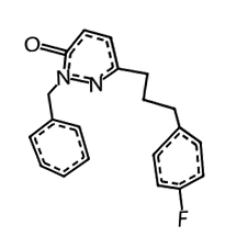 O=c1ccc(CCCc2ccc(F)cc2)nn1Cc1ccccc1